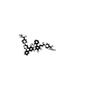 COc1ccccc1-c1cc(Sc2cc(-c3ccccc3OC)c(/C=C/C(=O)N3CCC(C(=O)NO)CC3)c(Cl)c2Cl)c(Cl)c(Cl)c1/C=C/C(=O)N1CCC(C(=O)NO)CC1